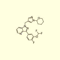 Fc1ccc(-c2nn(Cc3cnn(C4CCCCO4)c3)c3cccnc23)cc1OC(F)F